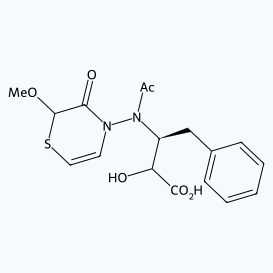 COC1SC=CN(N(C(C)=O)[C@@H](Cc2ccccc2)C(O)C(=O)O)C1=O